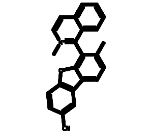 Cc1ccc2c(oc3ccc(C#N)cc32)c1-c1c2ccccc2cc[n+]1C